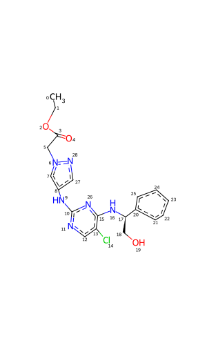 CCOC(=O)Cn1cc(Nc2ncc(Cl)c(N[C@H](CO)c3ccccc3)n2)cn1